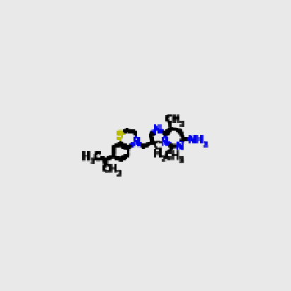 C=C(/C=N\C1=C(C)CC(N)=NC(C)=N1)CN1CCSc2cc(C(=C)C)ccc21